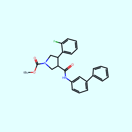 CC(C)(C)OC(=O)N1CC(C(=O)Nc2cccc(-c3ccccc3)c2)C(c2ccccc2F)C1